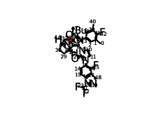 Cc1cc(-n2nc3c(c2-n2ccn(-c4ccc5c(cnn5C(F)F)c4F)c2=O)[C@@H]2CC[C@H](C3)N2C(=O)OC(C)(C)C)cc(C)c1F